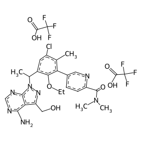 CCOc1c(C(C)n2nc(CO)c3c(N)ncnc32)cc(Cl)c(C)c1-c1ccc(C(=O)N(C)C)nc1.O=C(O)C(F)(F)F.O=C(O)C(F)(F)F